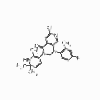 CC1=C(N2CN(c3ccc(F)cc3C)c3cnc(Cl)cc3C2=O)C=CC(C)(C)N1